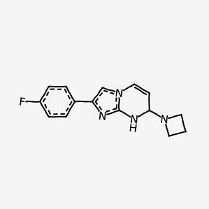 Fc1ccc(-c2cn3c(n2)NC(N2CCC2)C=C3)cc1